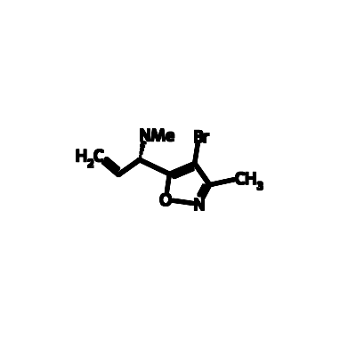 C=C[C@H](NC)c1onc(C)c1Br